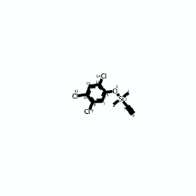 C#C[Si](C)(C)Oc1cc(Cl)c(Cl)cc1Cl